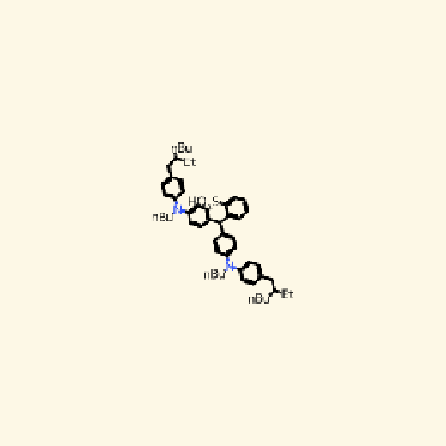 CCCCC(CC)Cc1ccc(N(CCCC)c2ccc(C(c3ccc(N(CCCC)c4ccc(CC(CC)CCCC)cc4)cc3)c3ccccc3S(=O)(=O)O)cc2)cc1